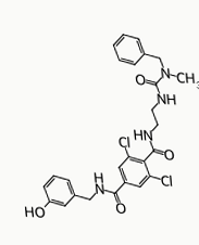 CN(Cc1ccccc1)C(=O)NCCNC(=O)c1c(Cl)cc(C(=O)NCc2cccc(O)c2)cc1Cl